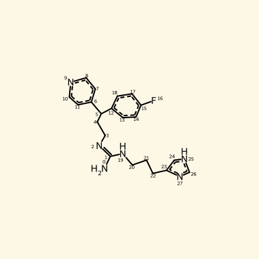 NC(=NCCC(c1ccncc1)c1ccc(F)cc1)NCCCc1c[nH]cn1